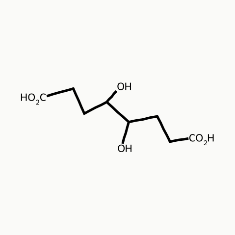 O=C(O)CCC(O)C(O)CCC(=O)O